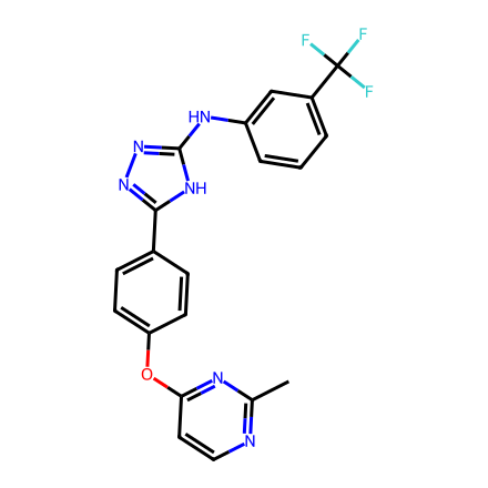 Cc1nccc(Oc2ccc(-c3nnc(Nc4cccc(C(F)(F)F)c4)[nH]3)cc2)n1